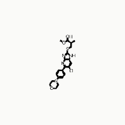 COC(O)C(C)CSc1nc2nc(-c3ccc(N4CCOCC4)cc3)c(Cl)cc2[nH]1